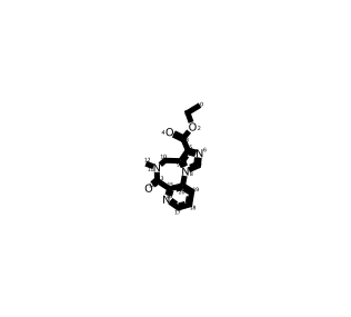 CCOC(=O)c1ncn2c1CN(C)C(=O)c1ncccc1-2